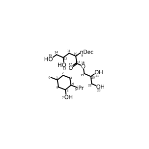 CC1CCC(C(C)C)C(O)C1.CCCCCCCCCCC(CC(O)CO)C(=O)OCC(O)CO